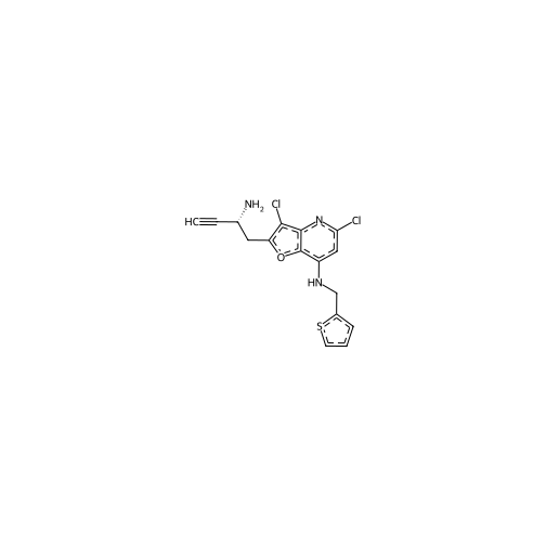 C#C[C@H](N)Cc1oc2c(NCc3cccs3)cc(Cl)nc2c1Cl